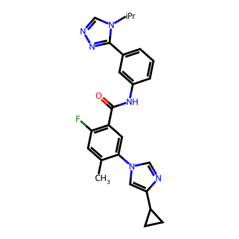 Cc1cc(F)c(C(=O)Nc2cccc(-c3nncn3C(C)C)c2)cc1-n1cnc(C2CC2)c1